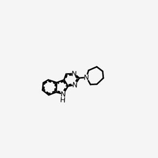 c1ccc2c(c1)[nH]c1nc(N3CCCCCC3)ncc12